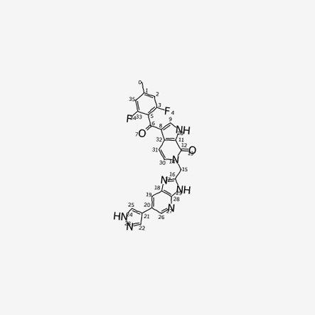 Cc1cc(F)c(C(=O)c2c[nH]c3c(=O)n(Cc4nc5cc(-c6cn[nH]c6)cnc5[nH]4)ccc23)c(F)c1